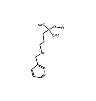 CO[Si](CCCNCc1ccccc1)(OC)OC(C)C